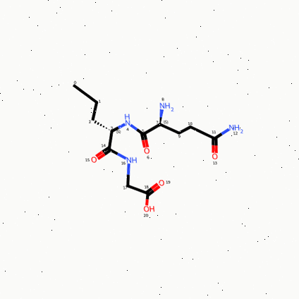 CCC[C@H](NC(=O)[C@@H](N)CCC(N)=O)C(=O)NCC(=O)O